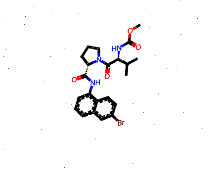 COC(=O)N[C@H](C(=O)N1CCC[C@H]1C(=O)Nc1cccc2cc(Br)ccc12)C(C)C